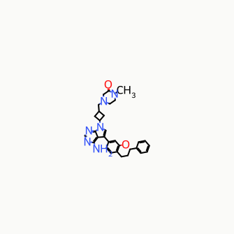 CN1CCN(CC2CC(n3cc(-c4ccc5c(c4)OC(c4ccccc4)CC5)c4c(N)ncnc43)C2)CC1=O